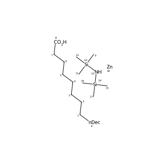 CCCCCCCCCCCCCCCCCC(=O)O.C[Si](C)(C)N[Si](C)(C)C.[Zn]